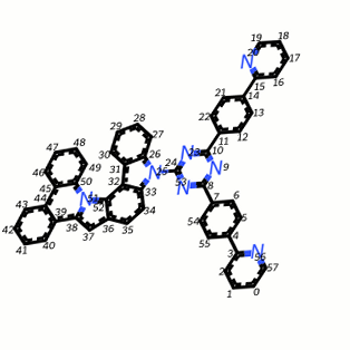 c1ccc(-c2ccc(-c3nc(-c4ccc(-c5ccccn5)cc4)nc(-n4c5ccccc5c5c4ccc4cc6c7ccccc7c7ccccc7n6c45)n3)cc2)nc1